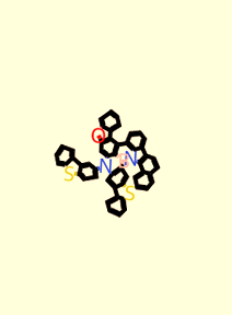 c1ccc2c(c1)ccc1c3cccc4c3n(c21)B1c2cc3sc5ccccc5c3cc2N(c2ccc3sc5ccccc5c3c2)c2cc3oc5ccccc5c3c-4c21